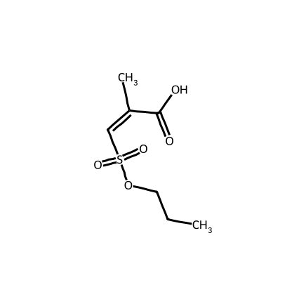 CCCOS(=O)(=O)C=C(C)C(=O)O